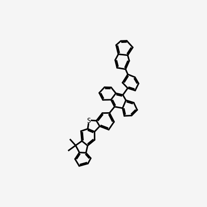 CC1(C)c2ccccc2-c2cc3c(cc21)sc1cc(-c2c4ccccc4c(-c4cccc(-c5ccc6ccccc6c5)c4)c4ccccc24)ccc13